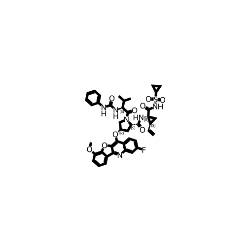 C=C[C@@H]1C[C@]1(NC(=O)[C@@H]1C[C@@H](Oc2c3ccc(F)cc3nc3c2oc2c(OC)cccc23)CN1C(=O)[C@@H](NC(=O)Nc1ccccc1)C(C)C)C(=O)NS(=O)(=O)C1CC1